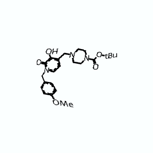 COc1ccc(Cn2ccc(CN3CCN(C(=O)OC(C)(C)C)CC3)c(O)c2=O)cc1